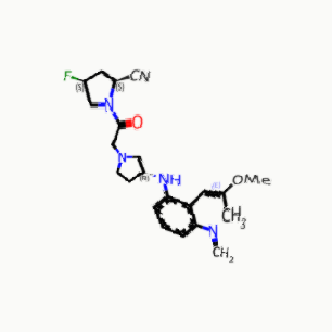 C=Nc1cccc(N[C@@H]2CCN(CC(=O)N3C[C@@H](F)C[C@H]3C#N)C2)c1/C=C(\C)OC